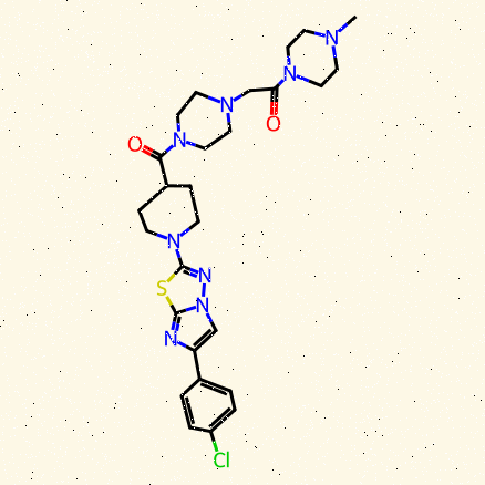 CN1CCN(C(=O)CN2CCN(C(=O)C3CCN(c4nn5cc(-c6ccc(Cl)cc6)nc5s4)CC3)CC2)CC1